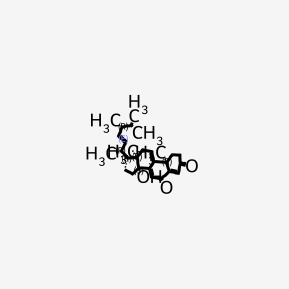 CC(C)[C@@H](C)/C=C/[C@@H](C)[C@H]1CC[C@@]2(O)C3=CC(=O)C4=CC(=O)CC[C@]4(C)C3=CC[C@]12C